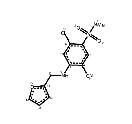 CNS(=O)(=O)c1cc(C#N)c(NCc2ccco2)cc1Cl